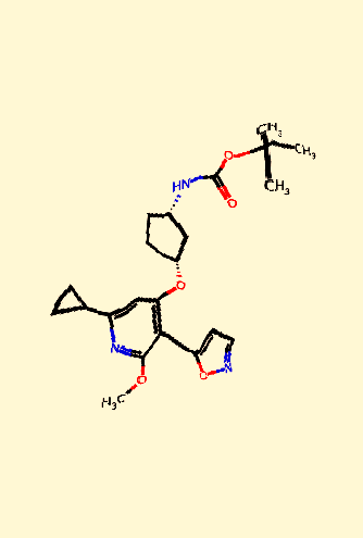 COc1nc(C2CC2)cc(O[C@@H]2CC[C@H](NC(=O)OC(C)(C)C)C2)c1-c1ccno1